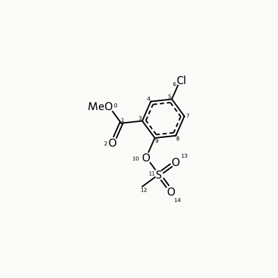 COC(=O)c1cc(Cl)ccc1OS(C)(=O)=O